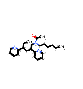 CCCCCCN(CC(CC(CC)c1ccccn1)c1ccccn1)C(C)=O